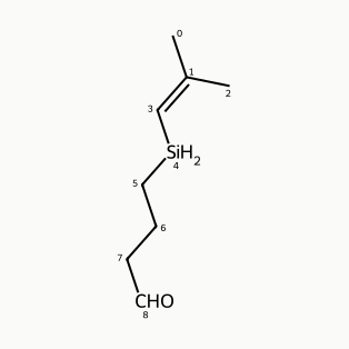 CC(C)=C[SiH2]CCCC=O